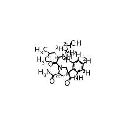 Cl.[2H]c1c([2H])c([2H])c2c(c1[2H])NC(=O)[C@]21C[C@@H](C(N)=O)N(C(=O)[C@H](CC(C)C)NC([2H])([2H])[2H])C1